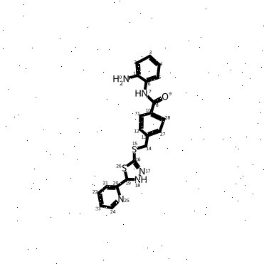 Nc1ccccc1NC(=O)c1ccc(CSC2=NNC(c3ccccn3)S2)cc1